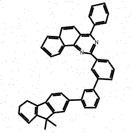 CC1(C)C2=C(CCC=C2)c2ccc(-c3cccc(-c4cccc(-c5nc(-c6ccccc6)c6ccc7ccccc7c6n5)c4)c3)cc21